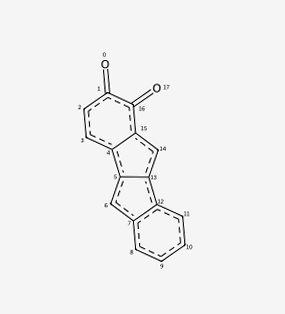 O=c1ccc2c3cc4ccccc4c-3cc-2c1=O